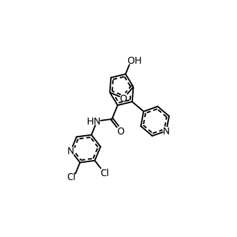 O=C(Nc1cnc(Cl)c(Cl)c1)c1c(-c2ccncc2)c2oc1cc2O